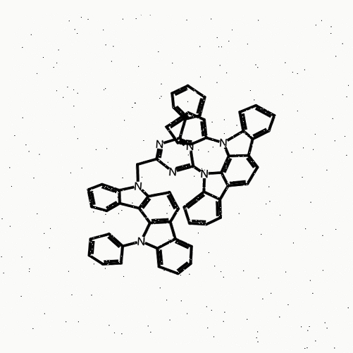 c1ccc(-c2nc(Cn3c4ccccc4c4c3ccc3c5ccccc5n(-c5ccccc5)c34)nc(-n3c4ccccc4c4ccc5c6ccccc6n(-c6ccccc6)c5c43)n2)cc1